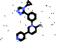 FC(F)(F)C1C=CC(c2ccncc2)=CN1c1cccc(-c2nncn2C2CC2)c1